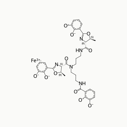 C[C@@H]1OC(c2cccc([O-])c2[O-])=N[C@H]1C(=O)NCCCN(CCCNC(=O)c1cccc([O-])c1[O-])C(=O)[C@H]1N=C(c2cccc([O-])c2[O-])O[C@@H]1C.[Fe+3]